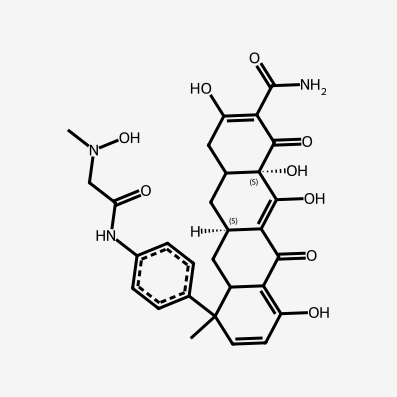 CN(O)CC(=O)Nc1ccc(C2(C)C=CC(O)=C3C(=O)C4=C(O)[C@]5(O)C(=O)C(C(N)=O)=C(O)CC5C[C@@H]4CC32)cc1